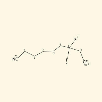 N#CCCCCCC(F)(F)CC(F)(F)F